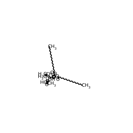 CCCCCCCCCCCCCCCCCC(=O)Oc1ccc(C(O)CNC(C)(C)C)cc1OC(=O)CCCCCCCCCCCCCCCCC.CS(=O)(=O)O